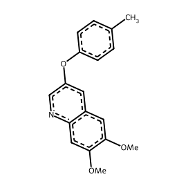 COc1cc2cc(Oc3ccc(C)cc3)cnc2cc1OC